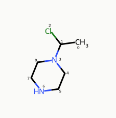 CC(Cl)N1CCNCC1